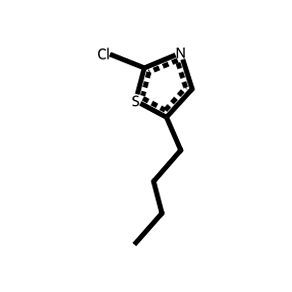 CCCCc1cnc(Cl)s1